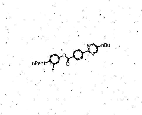 CCCCCc1ccc(OC(=O)c2ccc(-c3ncc(CCCC)cn3)cc2)cc1F